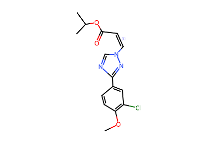 COc1ccc(-c2ncn(/C=C\C(=O)OC(C)C)n2)cc1Cl